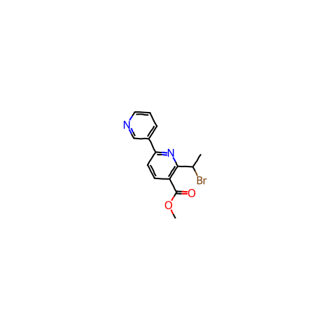 COC(=O)c1ccc(-c2cccnc2)nc1C(C)Br